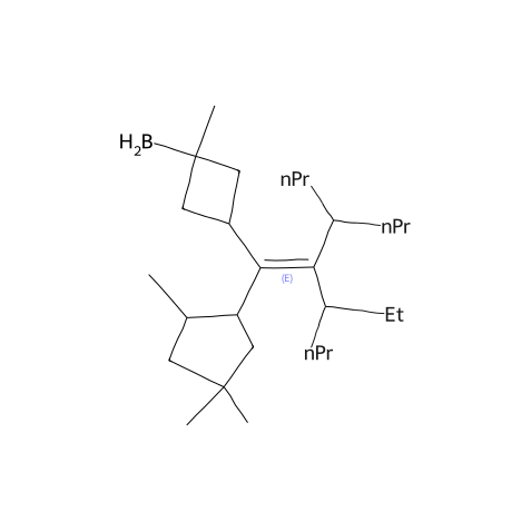 BC1(C)CC(/C(=C(/C(CC)CCC)C(CCC)CCC)C2CC(C)(C)CC2C)C1